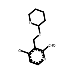 O=Cc1nccc(Cl)c1COC1CCCCO1